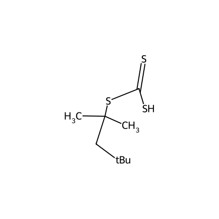 CC(C)(C)CC(C)(C)SC(=S)S